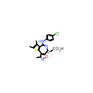 Cc1noc2c1-c1sc(C)c(C)c1C(Nc1ccc(Cl)cc1)=N[C@H]2CC(=O)O